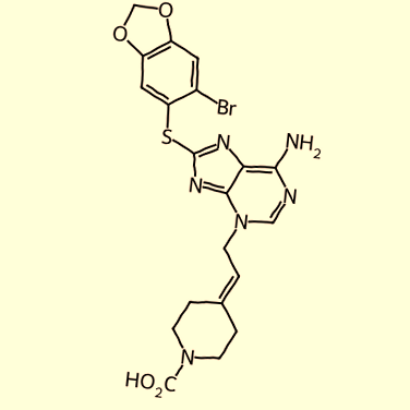 Nc1ncn(CC=C2CCN(C(=O)O)CC2)c2nc(Sc3cc4c(cc3Br)OCO4)nc1-2